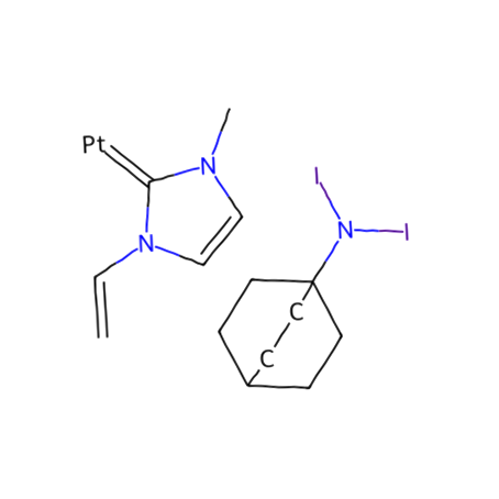 C=Cn1ccn(C)[c]1=[Pt].IN(I)C12CCC(CC1)CC2